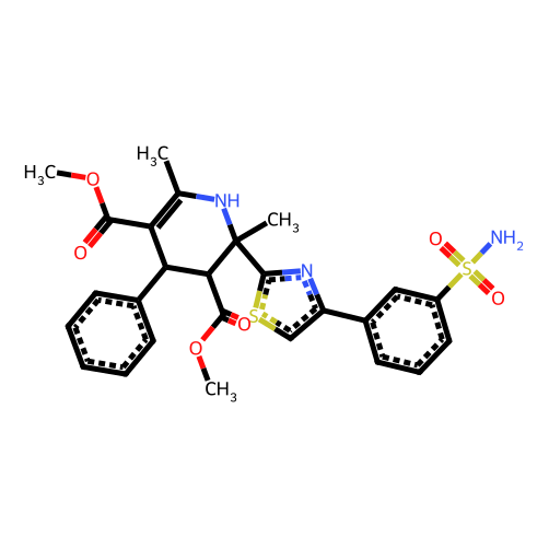 COC(=O)C1=C(C)NC(C)(c2nc(-c3cccc(S(N)(=O)=O)c3)cs2)C(C(=O)OC)C1c1ccccc1